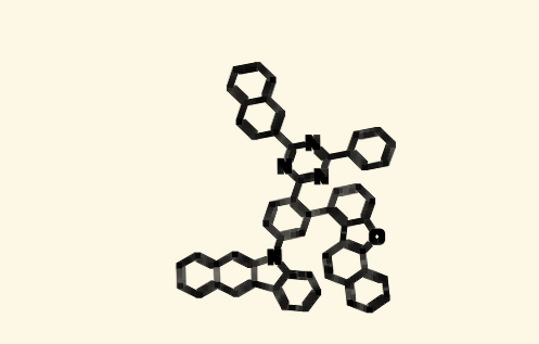 c1ccc(-c2nc(-c3ccc4ccccc4c3)nc(-c3ccc(-n4c5ccccc5c5cc6ccccc6cc54)cc3-c3cccc4oc5c6ccccc6ccc5c34)n2)cc1